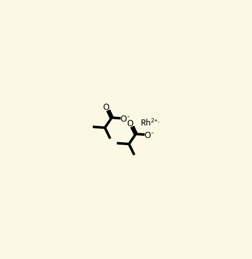 CC(C)C(=O)[O-].CC(C)C(=O)[O-].[Rh+2]